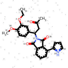 CCOc1cc(C(CC(C)=O)N2C(=O)c3cccc(-c4ccc[nH]4)c3C2=O)ccc1OC